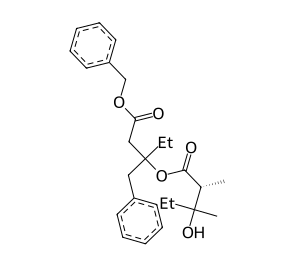 CCC(CC(=O)OCc1ccccc1)(Cc1ccccc1)OC(=O)[C@H](C)C(C)(O)CC